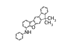 CC1(C)c2ccccc2-c2cc3c(cc21)oc1c(Nc2ccccc2)cccc13